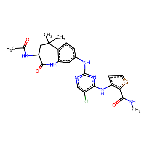 CNC(=O)c1sccc1Nc1nc(Nc2ccc3c(c2)NC(=O)C(NC(C)=O)CC3(C)C)ncc1Cl